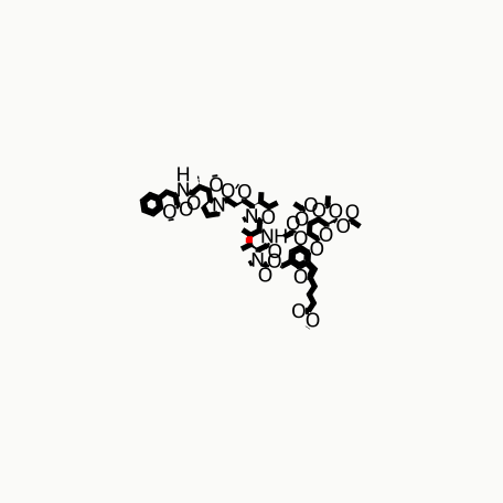 CCC(C)[C@@H]([C@@H](CC(=O)N1CCC[C@H]1[C@H](OC)[C@@H](C)C(=O)NC(Cc1ccccc1)C(=O)OC)OC)N(C)C(=O)[C@@H](NC(=O)[C@H](C(C)C)N(C)C(=O)OCc1ccc(O[C@@H]2O[C@H](COC(C)=O)[C@H](OC(C)=O)[C@H](OC(C)=O)[C@H]2OC(C)=O)c2cc(CCCC(=O)OC)oc12)C(C)C